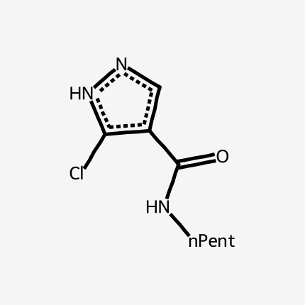 CCCCCNC(=O)c1cn[nH]c1Cl